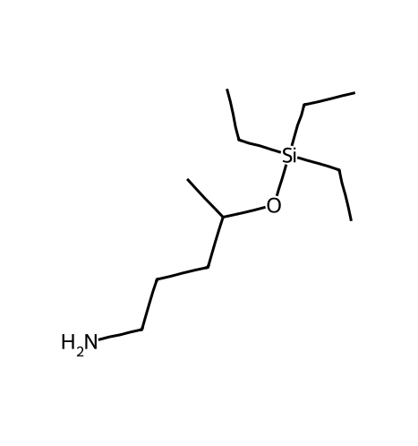 CC[Si](CC)(CC)OC(C)CCCN